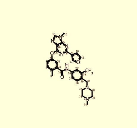 Cc1ccc(Oc2nc(-c3ccoc3)nc3c2ncn3C)cc1C(=O)Nc1ccc(CN2CCN(C)CC2)c(C(F)(F)F)c1